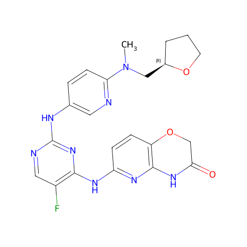 CN(C[C@H]1CCCO1)c1ccc(Nc2ncc(F)c(Nc3ccc4c(n3)NC(=O)CO4)n2)cn1